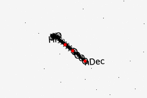 CCCCCCCCCCOCCOCCOCCOCCCCCCCCCCCCNC(=O)c1ccsc1